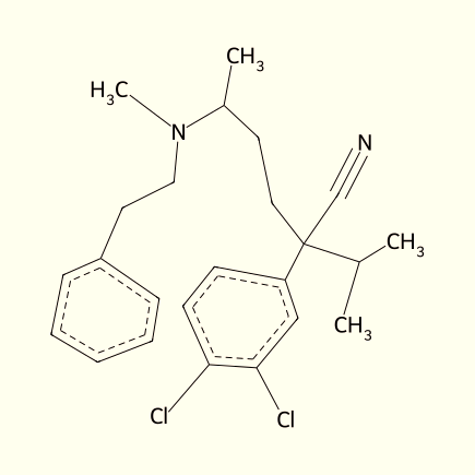 CC(CCC(C#N)(c1ccc(Cl)c(Cl)c1)C(C)C)N(C)CCc1ccccc1